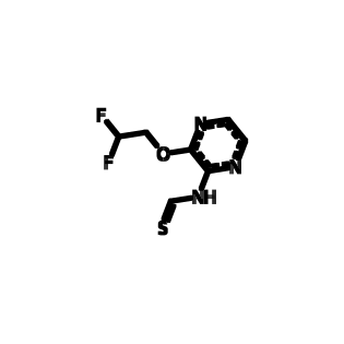 FC(F)COc1nccnc1NC=S